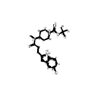 CN(C(=S)CCc1cc2cc(Cl)ccc2[nH]1)C1CCN(C(=O)OC(C)(C)C)CC1